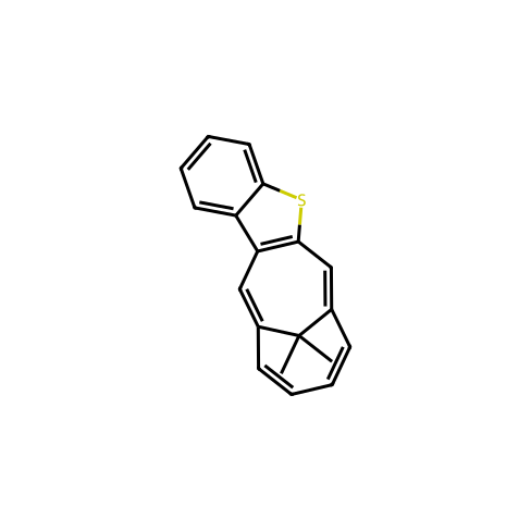 CC1(C)C2=Cc3sc4ccccc4c3C=C1C=CC=C2